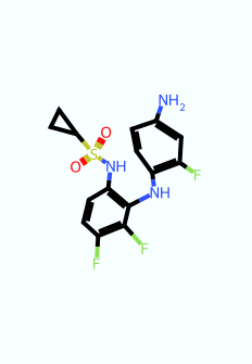 Nc1ccc(Nc2c(NS(=O)(=O)C3CC3)ccc(F)c2F)c(F)c1